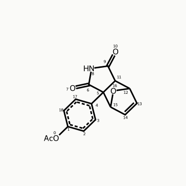 CC(=O)Oc1ccc(C23C(=O)NC(=O)C2C2C=CC3O2)cc1